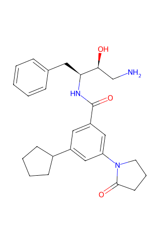 NC[C@H](O)[C@H](Cc1ccccc1)NC(=O)c1cc(C2CCCC2)cc(N2CCCC2=O)c1